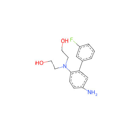 Nc1ccc(N(CCO)CCO)c(-c2cccc(F)c2)c1